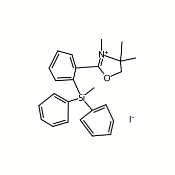 C[N+]1=C(c2ccccc2[Si](C)(c2ccccc2)c2ccccc2)OCC1(C)C.[I-]